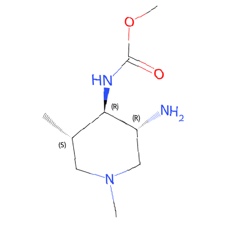 COC(=O)N[C@H]1[C@H](N)CN(C)C[C@@H]1C